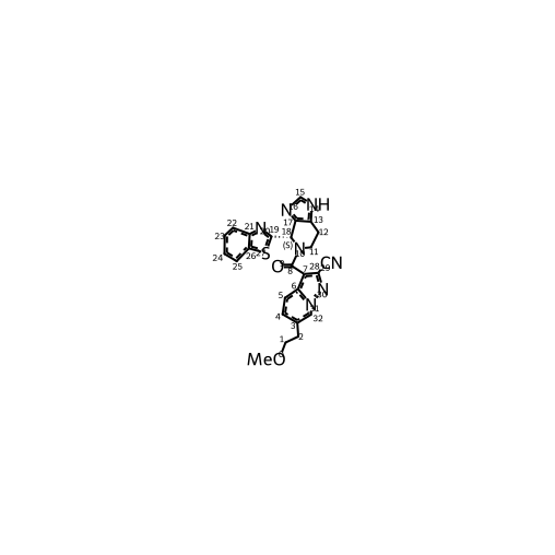 COCCc1ccc2c(C(=O)N3CCc4[nH]cnc4[C@H]3c3nc4ccccc4s3)c(C#N)nn2c1